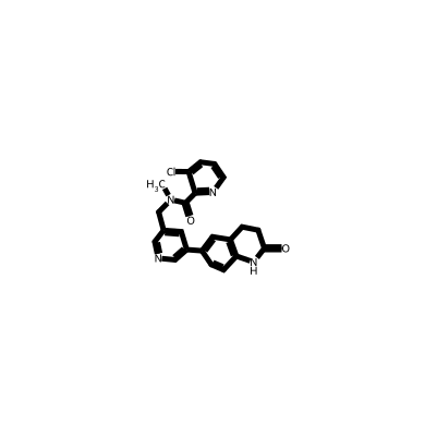 CN(Cc1cncc(-c2ccc3c(c2)CCC(=O)N3)c1)C(=O)c1ncccc1Cl